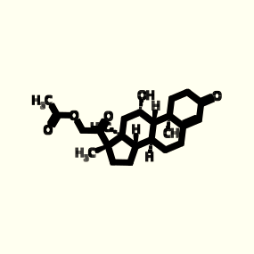 CC(=O)OCC(=O)[C@@]1(C)CC[C@H]2[C@@H]3CCC4=CC(=O)CC[C@]4(C)[C@H]3[C@@H](O)C[C@@]21C